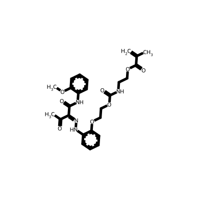 C=C(C)C(=O)OCCNC(=O)OCCOc1ccccc1N/N=C(\C(C)=O)C(=O)Nc1ccccc1OC